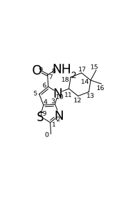 Cc1nc2c(cc(C(N)=O)n2C2CCC(C)(C)CC2)s1